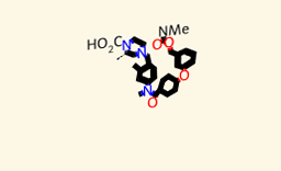 CNC(=O)OCc1cccc(OC2CCC(C(=O)N(C)c3ccc(CN4CCN(C(=O)O)[C@@H](C)C4)c(C)c3)CC2)c1